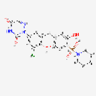 O=c1cnn(-c2cc(Cl)c3c(c2)Cc2cc(O)c(S(=O)(=O)N4CCCCC4)cc2O3)c(=O)[nH]1